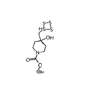 CC(C)(C)OC(=O)N1CCC(O)(C[SH]2SSS2)CC1